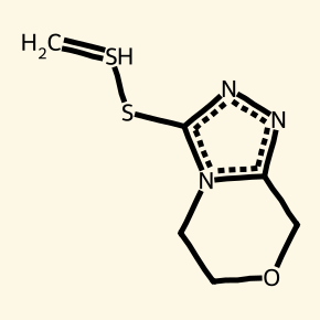 C=[SH]Sc1nnc2n1CCOC2